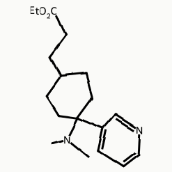 CCOC(=O)CCC1CCC(c2cccnc2)(N(C)C)CC1